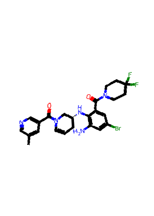 Cc1cncc(C(=O)N2C=CC[C@@H](Nc3c(N)cc(Br)cc3C(=O)N3CCC(F)(F)CC3)C2)c1